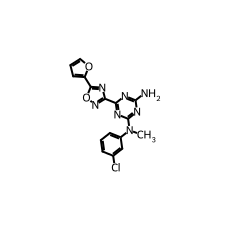 CN(c1cccc(Cl)c1)c1nc(N)nc(-c2noc(-c3ccco3)n2)n1